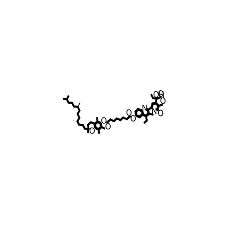 CCc1c2c(nc3ccc(OC(=O)CCCCCCC(=O)Oc4c(C)c(C)c5c(c4C)CCC(C)(CCC[C@H](C)CCC[C@H](C)CCCC(C)C)O5)cc13)-c1cc3c(c(=O)n1C2)COC(=O)[C@]3(O)CC